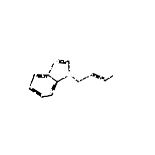 OC=CCn1cnc2ccccc21